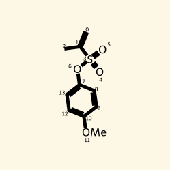 C=C(C)S(=O)(=O)Oc1ccc(OC)cc1